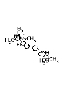 Cc1cc(-c2[nH]c3ccc(C4CCN(CC(=O)NC(CO)CC(C)C)CC4)cc3c2C(C)C)cc(C)n1